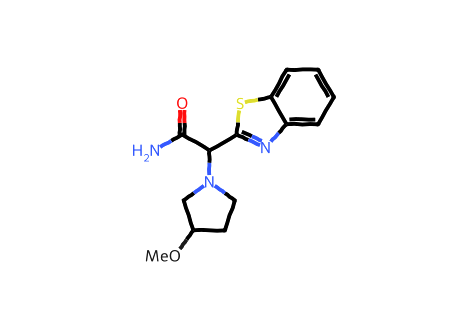 COC1CCN(C(C(N)=O)c2nc3ccccc3s2)C1